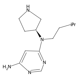 CC(C)CCN(c1cc(N)ncn1)[C@H]1CCNC1